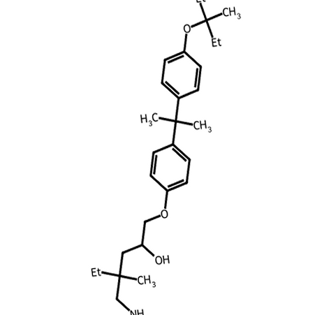 CCC(C)(CN)CC(O)COc1ccc(C(C)(C)c2ccc(OC(C)(CC)CC)cc2)cc1